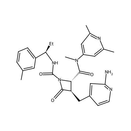 CC[C@@H](NC(=O)N1C(=O)[C@H](Cc2ccnc(N)c2)[C@H]1C(=O)N(C)c1cc(C)nc(C)c1)c1cccc(C)c1